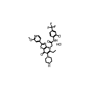 CCc1c(N2CCNCC2)c(=O)c2sc(-c3ccnc(OC)c3)nc2n1CC(=O)Nc1ccc(C(F)(F)F)cc1Cl.Cl